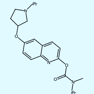 CC(C)N1CCC(Oc2ccc3nc(OC(=O)N(C)C(C)C)ccc3c2)C1